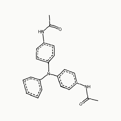 CC(=O)Nc1ccc(N(c2ccccc2)c2ccc(NC(C)=O)cc2)cc1